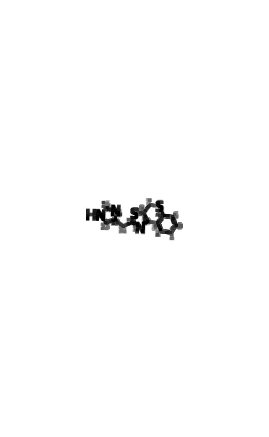 c1ccc2c(c1)SCc1sc(Cc3c[nH]cn3)nc1-2